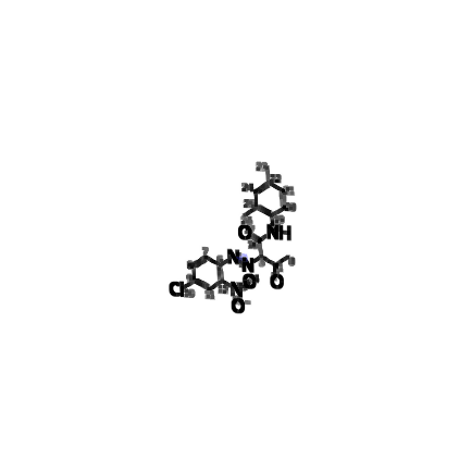 CC(=O)C(/N=N/c1ccc(Cl)cc1[N+](=O)[O-])C(=O)Nc1ccc(C)cc1C